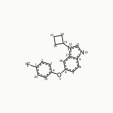 Fc1ccc(Oc2ccc3n[c]n(C4CCC4)c3c2)cc1